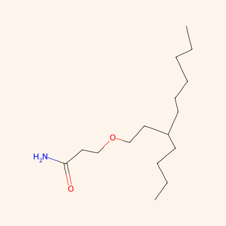 CCCCCCC(CCCC)CCOCCC(N)=O